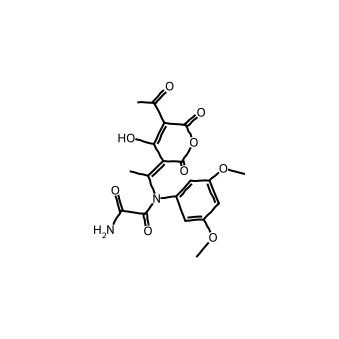 COc1cc(OC)cc(N(C(=O)C(N)=O)C(C)=C2C(=O)OC(=O)C(C(C)=O)=C2O)c1